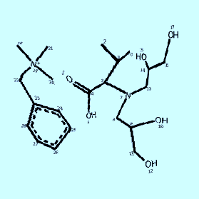 CC(C)C(C(=O)O)N(CC(O)CO)CC(O)CO.C[N+](C)(C)Cc1ccccc1